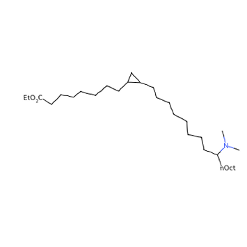 CCCCCCCCC(CCCCCCCCC1CC1CCCCCCCC(=O)OCC)N(C)C